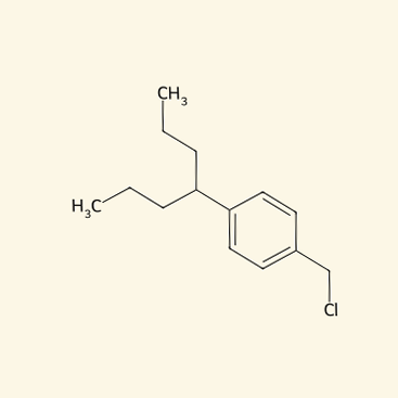 CCCC(CCC)c1ccc(CCl)cc1